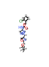 CC(C)(C)[Si](C)(C)OCc1nc(Cn2ncc(NC(=O)OCc3ccccc3Cl)n2)co1